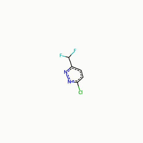 FC(F)c1ccc(Cl)nn1